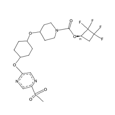 CS(=O)(=O)c1cnc(OC2CCC(OC3CCN(C(=O)O[C@@H]4CC(F)(F)C4(F)F)CC3)CC2)cn1